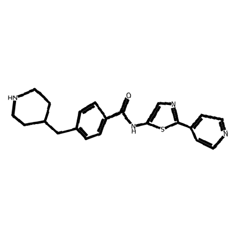 O=C(Nc1cnc(-c2ccncc2)s1)c1ccc(CC2CCNCC2)cc1